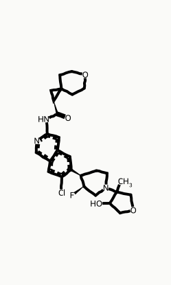 CC1(N2CC[C@H](c3cc4cc(NC(=O)[C@H]5CC56CCOCC6)ncc4cc3Cl)[C@H](F)C2)COCC1O